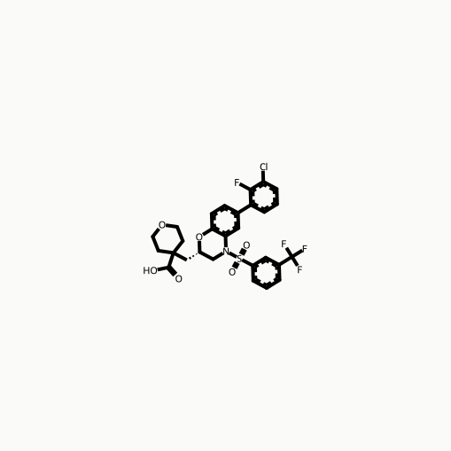 O=C(O)C1(C[C@H]2CN(S(=O)(=O)c3cccc(C(F)(F)F)c3)c3cc(-c4cccc(Cl)c4F)ccc3O2)CCOCC1